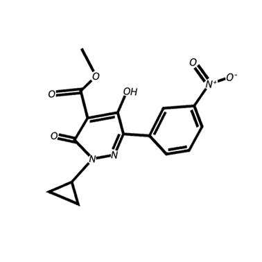 COC(=O)c1c(O)c(-c2cccc([N+](=O)[O-])c2)nn(C2CC2)c1=O